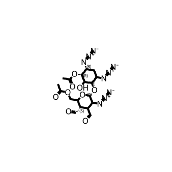 CC(=O)OCC1O[C@H](O[C@@H]2C(N=[N+]=[N-])C[C@@H](N=[N+]=[N-])[C@@H](OC(C)=O)C2O)C(N=[N+]=[N-])C(C=O)[C@@H]1C=O